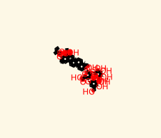 C/C=C(/C)C(=O)O[C@H]1[C@H](OC(C)=O)[C@@]2(CO)C(CC1(C)C)C1=CCC3[C@@]4(C)CC[C@H](O[C@@H]5OC(C(=O)O)[C@@H](O[C@@H]6CC(CO)[C@@H](O)[C@@H](O)C6O)[C@@H](O)C5O[C@@H]5OC(CO)[C@@H](O)[C@@H](O)C5O)[C@](C)(CO)C4CC[C@@]3(C)[C@]1(C)C[C@H]2O